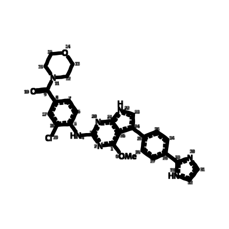 COc1nc(Nc2ccc(C(=O)N3CCOCC3)cc2Cl)nc2[nH]cc(-c3ccc(-c4ncc[nH]4)cc3)c12